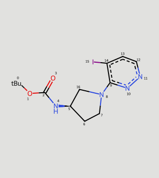 CC(C)(C)OC(=O)N[C@@H]1CCN(c2nnccc2I)C1